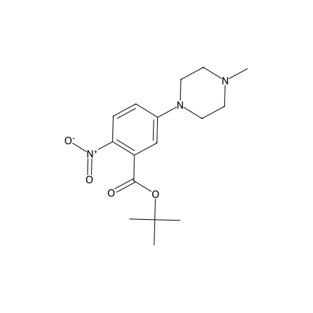 CN1CCN(c2ccc([N+](=O)[O-])c(C(=O)OC(C)(C)C)c2)CC1